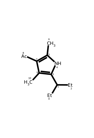 CCC(CC)c1[nH]c(C)c(C(C)=O)c1C